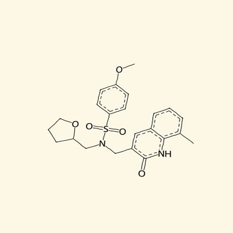 COc1ccc(S(=O)(=O)N(Cc2cc3cccc(C)c3[nH]c2=O)CC2CCCO2)cc1